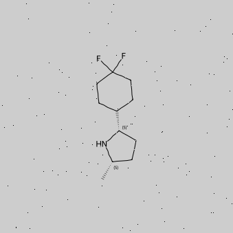 C[C@H]1CC[C@@H](C2CCC(F)(F)CC2)N1